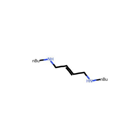 CCCCNC/C=C/CNCCCC